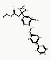 CCOC(=O)CC1(c2ccc(OCc3ccc(-c4ccccc4)cc3)c(F)c2)COC1